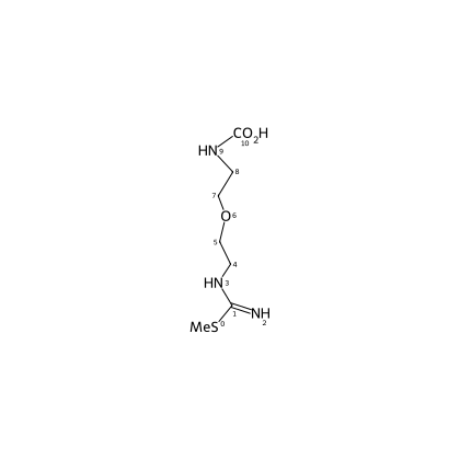 CSC(=N)NCCOCCNC(=O)O